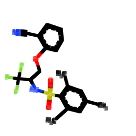 Cc1cc(C)c(S(=O)(=O)NC(COc2ccccc2C#N)C(F)(F)F)c(C)c1